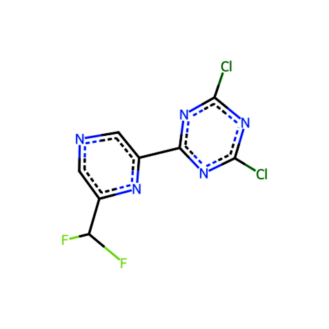 FC(F)c1cncc(-c2nc(Cl)nc(Cl)n2)n1